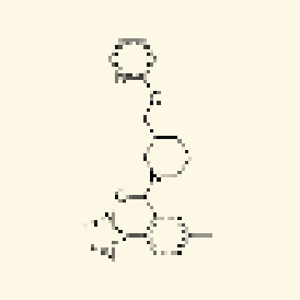 Cc1ccc(-n2nccn2)c(C(=O)N2CCCC(COc3ccccn3)C2C)c1